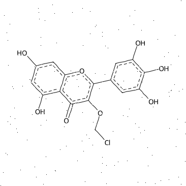 O=c1c(OCCl)c(-c2cc(O)c(O)c(O)c2)oc2cc(O)cc(O)c12